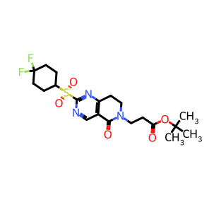 CC(C)(C)OC(=O)CCN1CCc2nc(S(=O)(=O)C3CCC(F)(F)CC3)ncc2C1=O